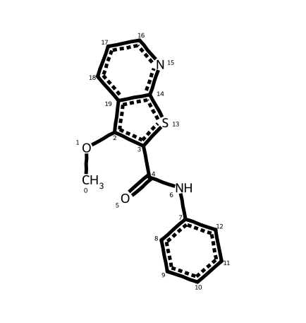 COc1c(C(=O)Nc2ccccc2)sc2ncccc12